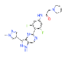 Cn1cc(-c2n[nH]c3cnc(-c4c(F)cc(NC(=O)CN5CCCC5)cc4F)nc23)cn1